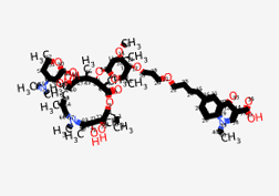 CC[C@H]1OC(=O)[C@H](C)[C@@H](O[C@H]2C[C@@](C)(OC)[C@@H](OCCCOCCCCc3ccc4c(c3)c(=O)c(C(=O)O)cn4CC)[C@H](C)O2)[C@H](C)[C@@H](O[C@@H]2O[C@H](C)C[C@H](N(C)C)[C@H]2O)[C@](C)(O)C[C@@H](C)CN(C)[C@H](C)[C@@H](O)[C@]1(C)O